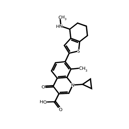 CNC1CCCc2sc(-c3ccc4c(=O)c(C(=O)O)cn(C5CC5)c4c3C)cc21